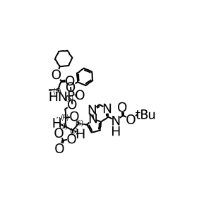 C[C@H](N[P@](=O)(OC[C@@]1(C)O[C@@H](c2ccc3c(NC(=O)OC(C)(C)C)ncnn23)[C@@H]2OC(=O)O[C@@H]21)Oc1ccccc1)C(=O)OC1CCCCC1